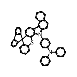 c1ccc(N(c2ccccc2)c2ccc(-n3c4ccc5ccccc5c4c4ccc5c(c43)Sc3ccccc3C53c4ccccc4-c4ccccc43)cc2)cc1